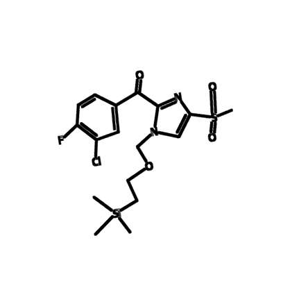 C[Si](C)(C)CCOCn1cc(S(C)(=O)=O)nc1C(=O)c1ccc(F)c(Cl)c1